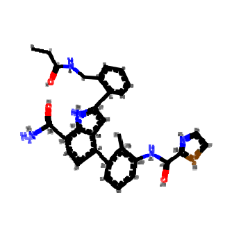 CCC(=O)NCc1ccccc1-c1cc2c(-c3cccc(NC(=O)c4nccs4)c3C)ccc(C(N)=O)c2[nH]1